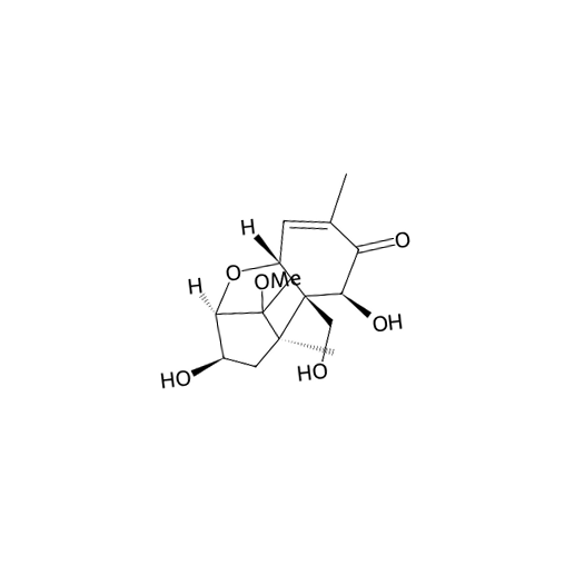 COC1(C)[C@@H]2O[C@@H]3C=C(C)C(=O)[C@@H](O)[C@]3(CO)[C@@]1(C)C[C@H]2O